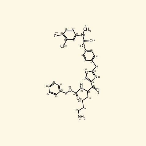 CN(C(=O)Oc1ccc(Cc2nc(C(=O)C(CCCCN)NC(=O)OCc3ccccc3)no2)cc1)c1ccc(Cl)c(Cl)c1